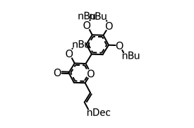 CCCCCCCCCCC=Cc1cc(=O)c(OCCCC)c(-c2cc(OCCCC)c(OCCCC)c(OCCCC)c2)o1